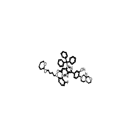 O=c1cc2c(nn1-c1c(F)cccc1OCCCCOC1CCCCO1)c(-c1ccc(N3CCN4CCOC[C@H]4C3)c(O)c1)nn2C(c1ccccc1)(c1ccccc1)c1ccccc1